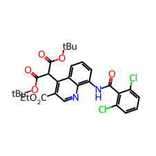 CCOC(=O)c1cnc2c(NC(=O)c3c(Cl)cccc3Cl)cccc2c1C(C(=O)OC(C)(C)C)C(=O)OC(C)(C)C